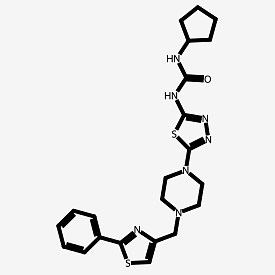 O=C(Nc1nnc(N2CCN(Cc3csc(-c4ccccc4)n3)CC2)s1)NC1CCCC1